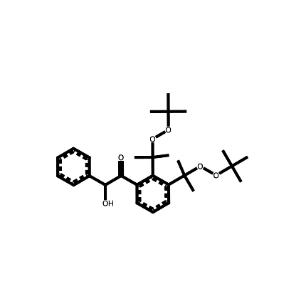 CC(C)(C)OOC(C)(C)c1cccc(C(=O)C(O)c2ccccc2)c1C(C)(C)OOC(C)(C)C